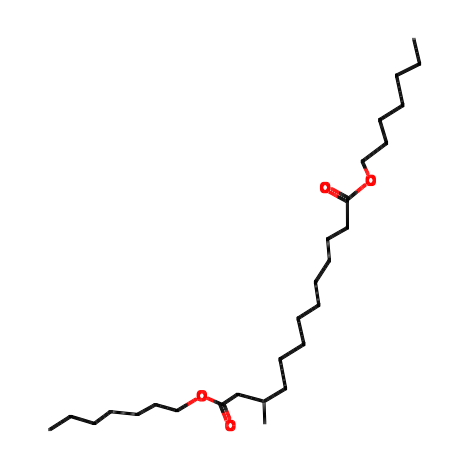 CCCCCCCOC(=O)CCCCCCCCCC(C)CC(=O)OCCCCCCC